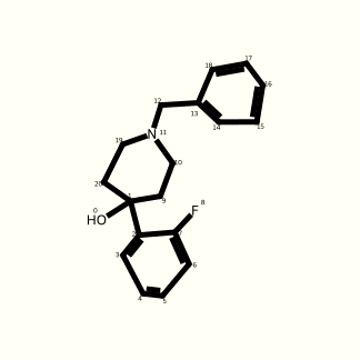 OC1(c2ccccc2F)CCN(Cc2ccccc2)CC1